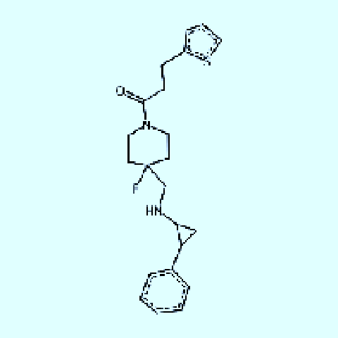 O=C(CCc1cccs1)N1CCC(F)(CNC2CC2c2ccccc2)CC1